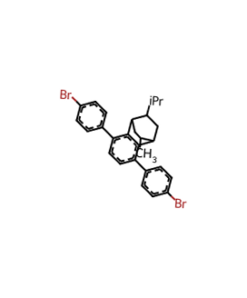 CC(C)C1CC2c3c(-c4ccc(Br)cc4)ccc(-c4ccc(Br)cc4)c3C1CC2C